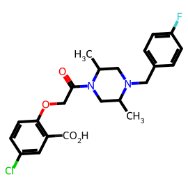 CC1CN(C(=O)COc2ccc(Cl)cc2C(=O)O)C(C)CN1Cc1ccc(F)cc1